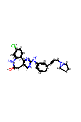 O=C1Cc2cnc(Nc3cccc(C#CCN4CCCC4)c3)nc2-c2ccc(Cl)cc2N1